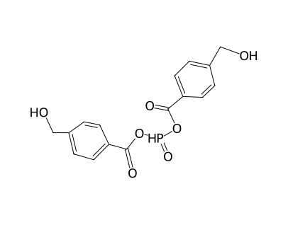 O=C(O[PH](=O)OC(=O)c1ccc(CO)cc1)c1ccc(CO)cc1